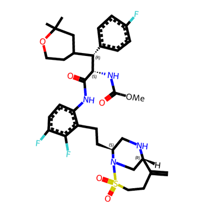 C=C1CCS(=O)(=O)N2C[C@@H]1NC[C@@H]2CCc1c(NC(=O)[C@@H](NC(=O)OC)[C@@H](c2ccc(F)cc2)C2CCOC(C)(C)C2)ccc(F)c1F